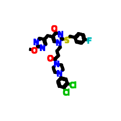 COc1ncc(Cc2cn(CCCC(=O)N3CCN(c4ccc(Cl)c(Cl)c4)CC3)c(SCc3ccc(F)cc3)nc2=O)cn1